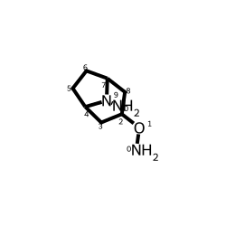 NOC1CC2CCC(C1)N2N